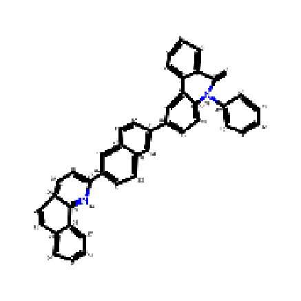 C=C1c2ccccc2-c2cc(-c3ccc4cc(-c5ccc6ccc7ccccc7c6n5)ccc4c3)ccc2N1c1ccccc1